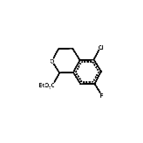 CCOC(=O)C1OCCc2c(Cl)cc(F)cc21